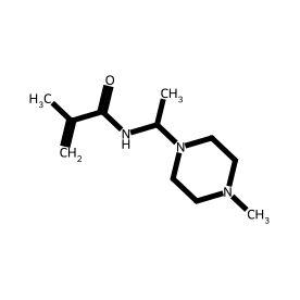 C=C(C)C(=O)NC(C)N1CCN(C)CC1